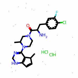 CC1C=CC2=C1C(N1CCN(C(=O)C(N)Cc3ccc(Cl)c(F)c3)CC1C)=NCN2.Cl.Cl